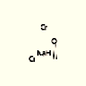 C=O.[Cr].[Cr].[NaH]